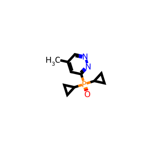 Cc1cnnc(P(=O)(C2CC2)C2CC2)c1